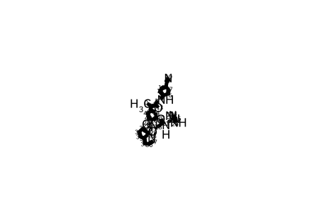 Cc1c(CNc2ccc(C#N)cc2)oc2cc(N(CC(=O)Nc3nnn[nH]3)S(=O)(=O)c3cccc4cccnc34)ccc12